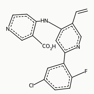 C=Cc1cnc(-c2cc(Cl)ccc2F)cc1Nc1ccncc1C(=O)O